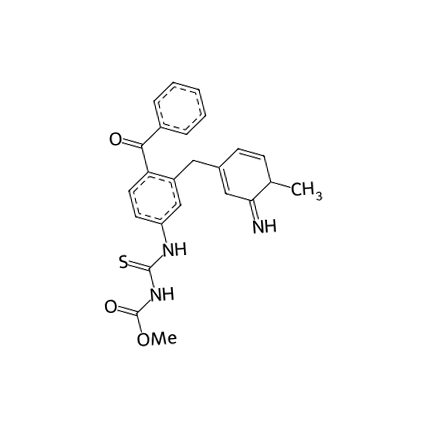 COC(=O)NC(=S)Nc1ccc(C(=O)c2ccccc2)c(CC2=CC(=N)C(C)C=C2)c1